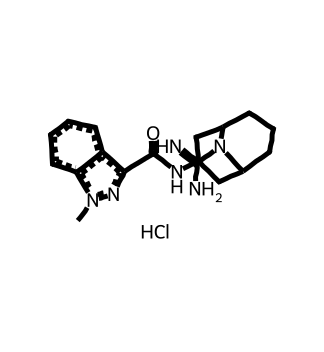 Cl.Cn1nc(C(=O)NC2CC3CCCC(C2)N3C(=N)N)c2ccccc21